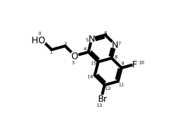 OCCOc1ncnc2c(F)cc(Br)cc12